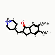 COC1=CC2CC(CC3CCNCC3)C(=O)C2C=C1OC